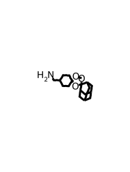 NCC1CCC2(CC1)OOC1(O2)C2CC3CC(C2)CC1C3